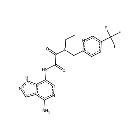 CCN(Cc1ccc(C(F)(F)F)cn1)C(=O)C(=O)Nc1cnc(N)c2cn[nH]c12